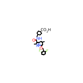 Cc1cc(OCc2c(F)cccc2F)n2nc(C)c(C(=O)NCC3CCC(C(=O)O)CC3)c2c1